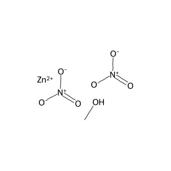 CO.O=[N+]([O-])[O-].O=[N+]([O-])[O-].[Zn+2]